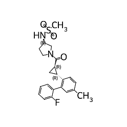 Cc1ccc([C@@H]2C[C@H]2C(=O)N2CC[C@@H](NS(C)(=O)=O)C2)c(-c2ccccc2F)c1